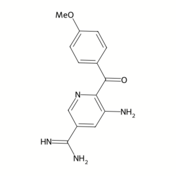 COc1ccc(C(=O)c2ncc(C(=N)N)cc2N)cc1